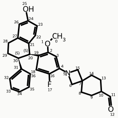 COc1cc(N2CC3(CCC(C=O)CC3)C2)c(F)cc1[C@@H]1c2ccc(O)cc2CC[C@@H]1c1ccccc1